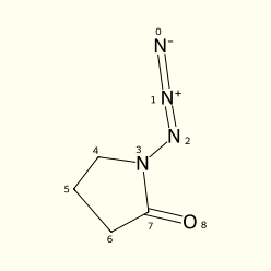 [N-]=[N+]=NN1CCCC1=O